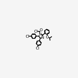 CC(C)Oc1ccccc1C1=NC(c2ccc(Cl)cc2)C(c2ccc(Cl)cc2)N1C(=O)Cl